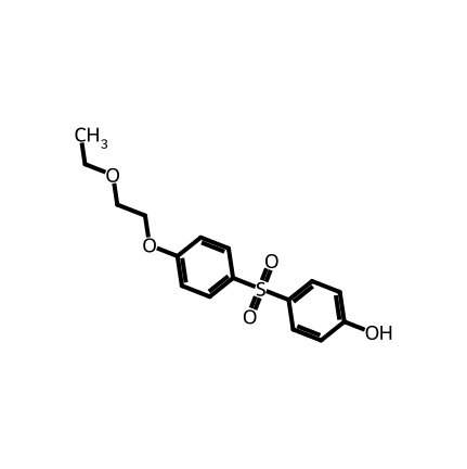 CCOCCOc1ccc(S(=O)(=O)c2ccc(O)cc2)cc1